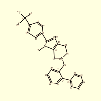 Cn1c(-c2ccc(C(F)(F)F)cc2)nc2c1CN(Cc1ccccc1-c1ccccc1)CC2